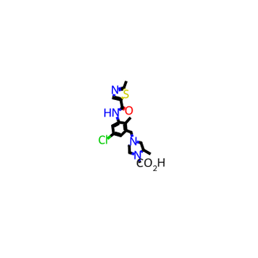 Cc1ncc(C(=O)Nc2cc(Cl)cc(CN3CCN(C(=O)O)C(C)C3)c2C)s1